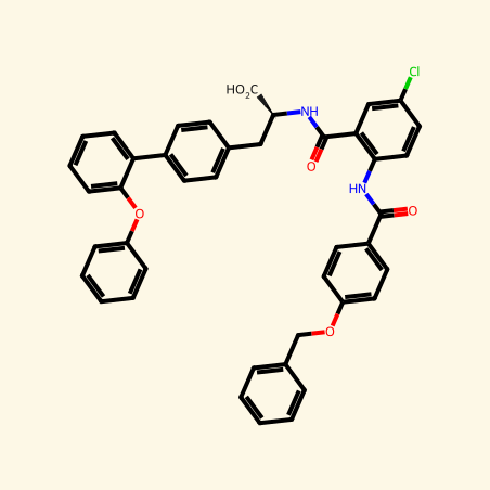 O=C(Nc1ccc(Cl)cc1C(=O)N[C@@H](Cc1ccc(-c2ccccc2Oc2ccccc2)cc1)C(=O)O)c1ccc(OCc2ccccc2)cc1